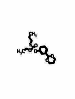 CCCSP(=O)(OCC)Oc1cccc(C2OCCCO2)c1